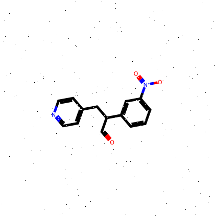 O=CC(Cc1ccncc1)c1cccc([N+](=O)[O-])c1